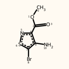 COC(=O)c1nsc(Br)c1N